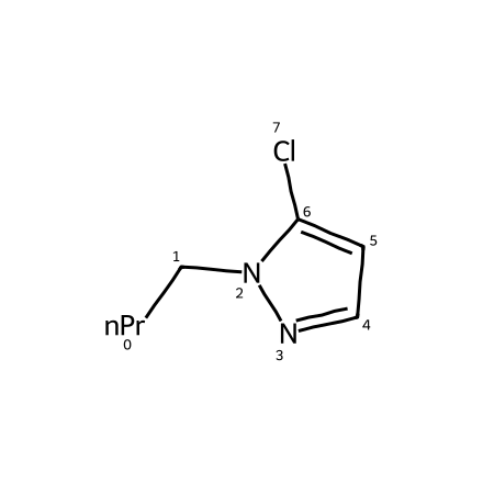 CCCCn1nccc1Cl